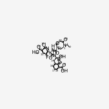 CCN1CCN(C(=O)N[C@H](C(=O)N[C@H]2Cc3cccc(C(=O)O)c3OB2O)c2nc(Cl)c(C(=O)O)cc2F)COCC1=O